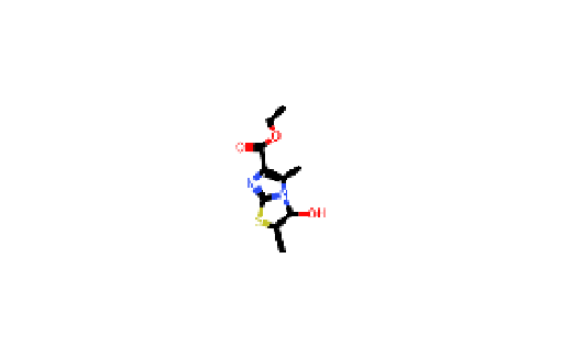 CCOC(=O)c1nc2n(c1C)C(O)C(C)S2